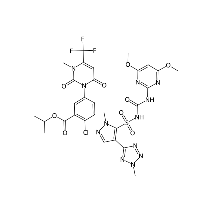 CC(C)OC(=O)c1cc(-n2c(=O)cc(C(F)(F)F)n(C)c2=O)ccc1Cl.COc1cc(OC)nc(NC(=O)NS(=O)(=O)c2c(-c3nnn(C)n3)cnn2C)n1